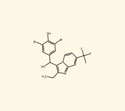 CCc1nc2cc(C(F)(F)F)ccn2c1C(O)c1cc(Br)c(O)c(Br)c1